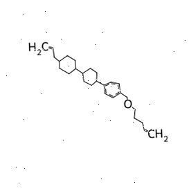 C=CCCCOCc1ccc(C2CCC(C3CCC(CC=C)CC3)CC2)cc1